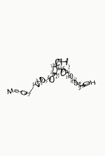 COCCOCCOCCOc1ccc(C)c(COCCOCCOCCO)c1